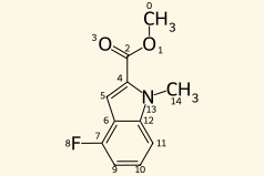 COC(=O)c1cc2c(F)cccc2n1C